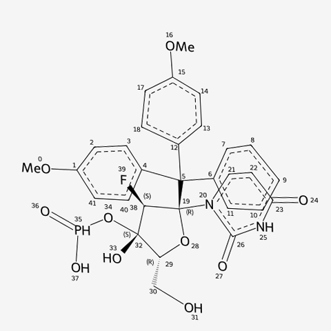 COc1ccc(C(c2ccccc2)(c2ccc(OC)cc2)[C@@]2(n3ccc(=O)[nH]c3=O)O[C@H](CO)[C@](O)(O[PH](=O)O)[C@H]2F)cc1